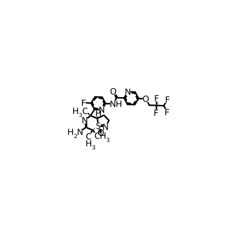 CC1(C)C(N)=N[C@](C)(c2nc(NC(=O)c3ccc(OCC(F)(F)C(F)F)cn3)ccc2F)[C@H]2CCN=[S@@]21=O